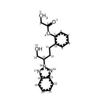 CCC(=O)Oc1ccccc1CCC(CO)n1nc2ccccc2n1